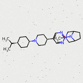 CC(C)[C@H]1CC[C@@H](N2CCC(c3cnc(N4C5CCC4CN(C)C5)nc3)CC2)CC1